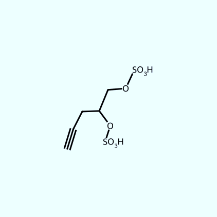 C#CCC(COS(=O)(=O)O)OS(=O)(=O)O